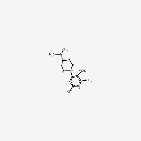 Cc1nc(Cl)nc(N2CCC(N(C)C)CC2)c1C